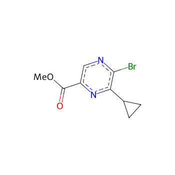 COC(=O)c1cnc(Br)c(C2CC2)n1